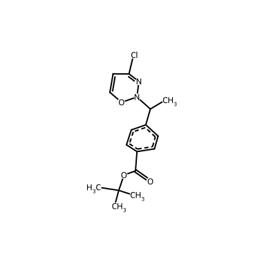 CC(c1ccc(C(=O)OC(C)(C)C)cc1)N1N=C(Cl)C=CO1